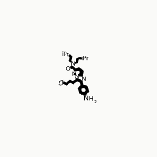 CC(C)CCN(CCC(C)C)C(=O)c1ccc2nc(-c3ccc(N)cc3)c(CCCCl)n2n1